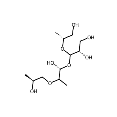 CC(OC[C@H](C)O)[C@H](O)OC(O[C@H](C)CO)[C@@H](O)CO